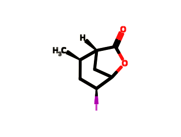 C[C@@H]1C[C@H](I)C2C[C@H]1C(=O)O2